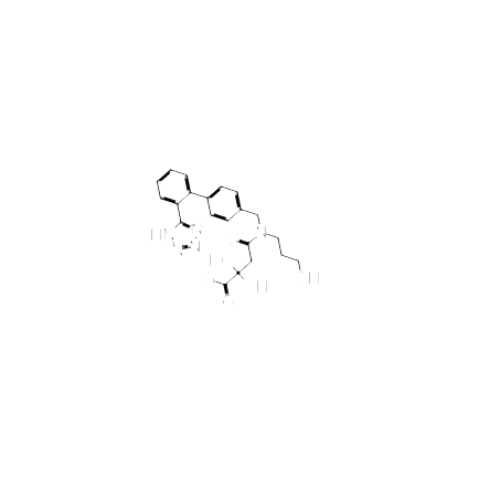 CCCCN(Cc1ccc(-c2ccccc2-c2nnn[nH]2)cc1)C(=O)CC(C)(C)C(=O)O